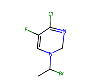 CC(Br)N1C=C(F)C(Cl)=NC1